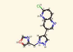 Clc1ccc2ncc(-c3cnn(Cc4cocn4)c3)cc2n1